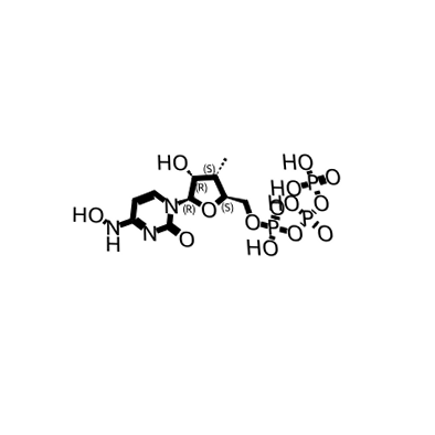 C[C@H]1[C@@H](O)[C@H](n2ccc(NO)nc2=O)O[C@@H]1COP(=O)(O)OP(=O)(O)OP(=O)(O)O